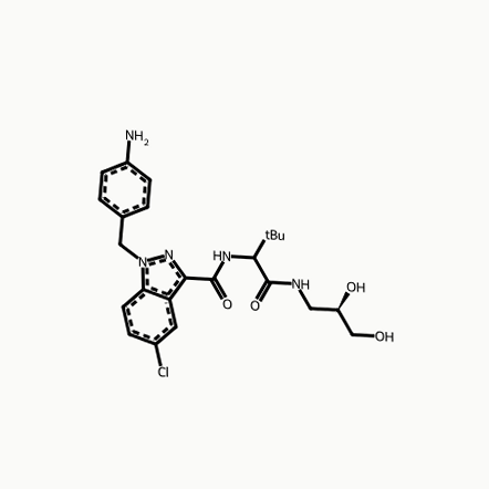 CC(C)(C)C(NC(=O)c1nn(Cc2ccc(N)cc2)c2ccc(Cl)cc12)C(=O)NC[C@@H](O)CO